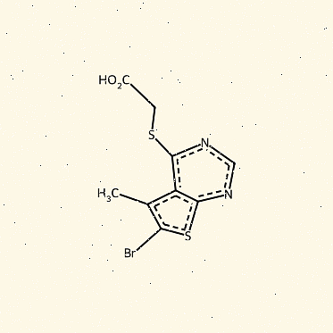 Cc1c(Br)sc2ncnc(SCC(=O)O)c12